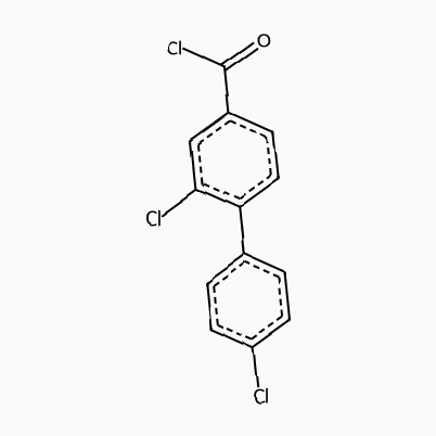 O=C(Cl)c1ccc(-c2ccc(Cl)cc2)c(Cl)c1